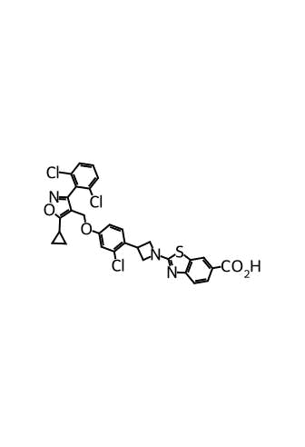 O=C(O)c1ccc2nc(N3CC(c4ccc(OCc5c(-c6c(Cl)cccc6Cl)noc5C5CC5)cc4Cl)C3)sc2c1